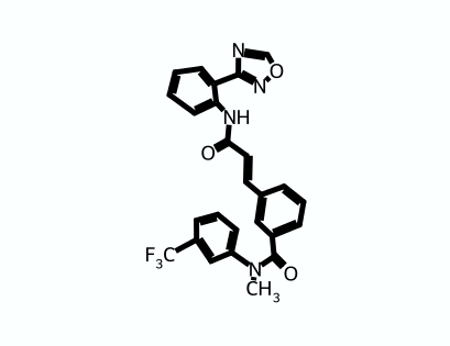 CN(C(=O)c1cccc(C=CC(=O)Nc2ccccc2-c2ncon2)c1)c1cccc(C(F)(F)F)c1